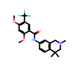 COc1cc(OC)c(C(F)(F)F)cc1C(=O)Nc1ccc2c(c1)CN(C)CC2(C)C